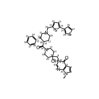 Cn1ccc2c(=O)n(CC3(O)CCN(C(=O)[C@@H]4CCN(Cc5ccc(-c6ccsc6)s5)C[C@H]4c4ccccc4)CC3)cnc21